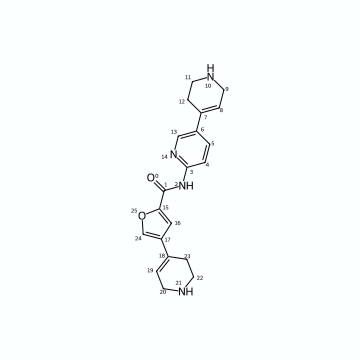 O=C(Nc1ccc(C2=CCNCC2)cn1)c1cc(C2=CCNCC2)co1